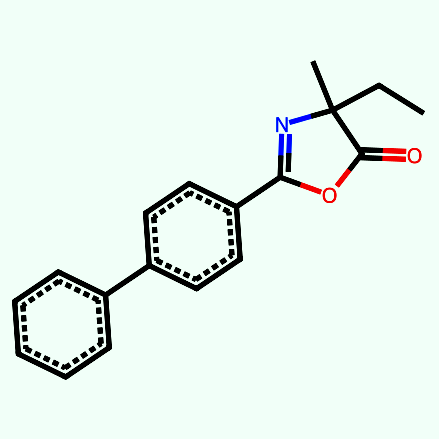 CCC1(C)N=C(c2ccc(-c3ccccc3)cc2)OC1=O